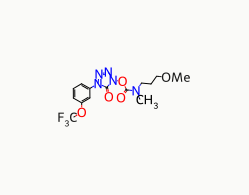 COCCCN(C)C(=O)On1nnn(-c2cccc(OC(F)(F)F)c2)c1=O